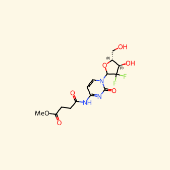 COC(=O)CCC(=O)Nc1ccn(C2O[C@H](CO)[C@@H](O)C2(F)F)c(=O)n1